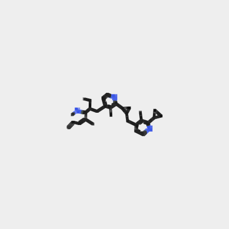 C=C/C=C(C)\C(=N/C)C(CC)Cc1ccnc(C2CC2Cc2ccnc(C3CC3)c2C)c1C